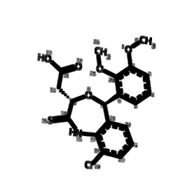 COc1cccc([C@@H]2O[C@@H](CC(=O)O)C(=S)Nc3c(Cl)cccc32)c1OC